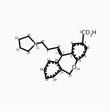 O=C(O)c1ccc2c(c1)/C(=C/CCN1CCCC1)c1ccccc1CO2